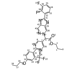 CCCOC(=O)C(c1cnc(-c2ccc(OCCC)cc2C(F)(F)F)nc1)n1cc2nc(-c3cccc(F)c3F)nc-2cn1